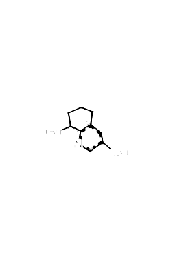 CC(C)(C)c1cnc2c(c1)CCCC2C(C)(C)C